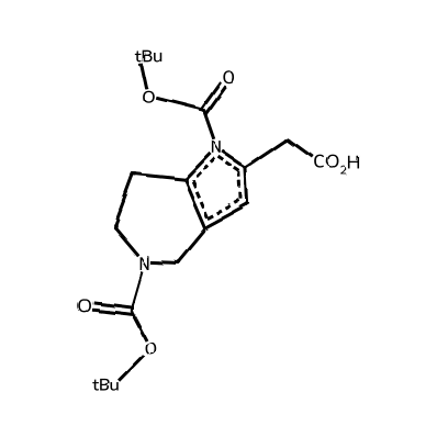 CC(C)(C)OC(=O)N1CCc2c(cc(CC(=O)O)n2C(=O)OC(C)(C)C)C1